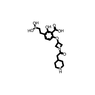 O=C(O)c1c(OC2CN(C(=O)CC3CCNCC3)C2)ccc(CCB(O)O)c1O